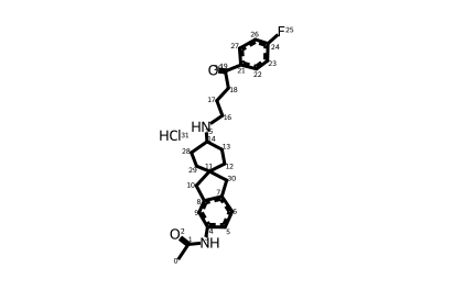 CC(=O)Nc1ccc2c(c1)CC1(CCC(NCCCC(=O)c3ccc(F)cc3)CC1)C2.Cl